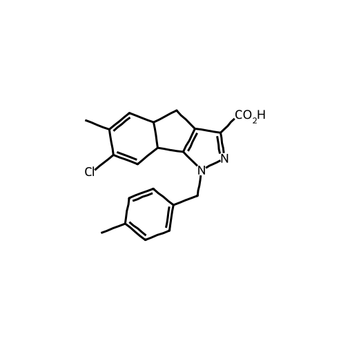 CC1=CC2Cc3c(C(=O)O)nn(Cc4ccc(C)cc4)c3C2C=C1Cl